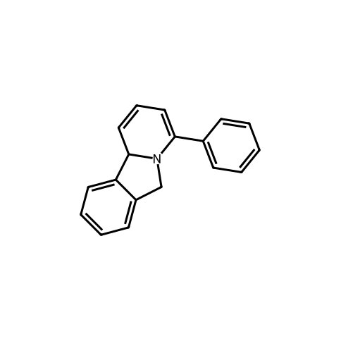 C1=CC2c3ccccc3CN2C(c2ccccc2)=C1